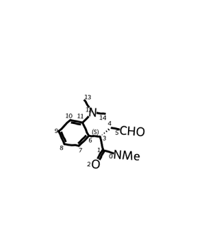 CNC(=O)[C@@H](CC=O)c1ccccc1N(C)C